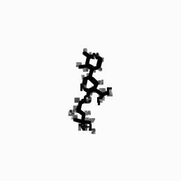 Cc1nccc(-c2cnc(OC[C@@H](C)CC(C)(C)N)c(C(F)F)c2)c1C